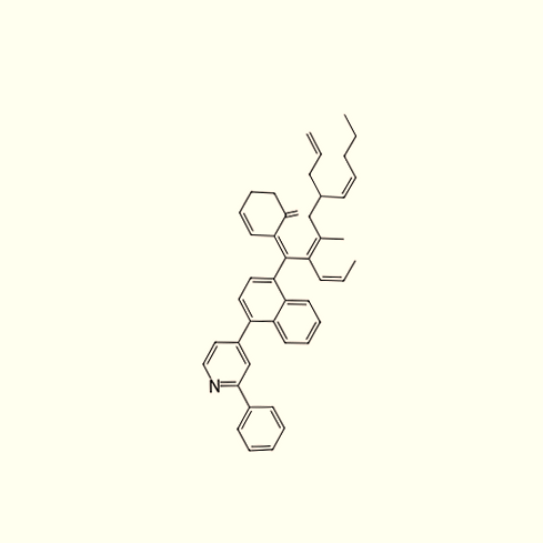 C=CCC(/C=C\CCC)C/C(C)=C(/C=C\C)C(=C1\C=CCCC1=C)\c1ccc(-c2ccnc(-c3ccccc3)c2)c2ccccc12